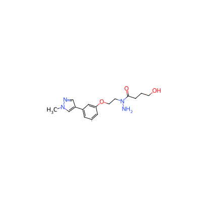 Cn1cc(-c2c[c]cc(OCCN(N)C(=O)CCCO)c2)cn1